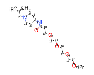 C=C(CN1CCC(NC(=O)CCOCCOCCOCCOC(C)C)CC1)C(C)C